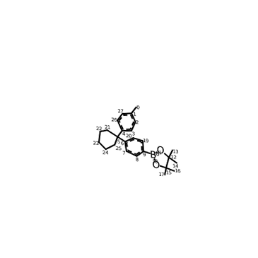 Cc1ccc(C2(c3ccc(B4OC(C)(C)C(C)(C)O4)cc3)CCCCC2)cc1